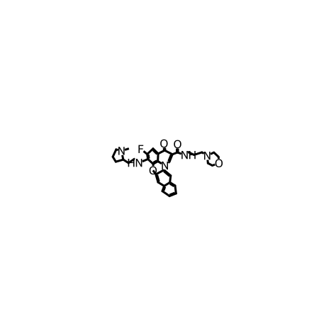 CN1CCCC1CCNc1c(F)cc2c(=O)c(C(=O)NCCCN3CCOCC3)cn3c2c1Oc1cc2ccccc2cc1-3